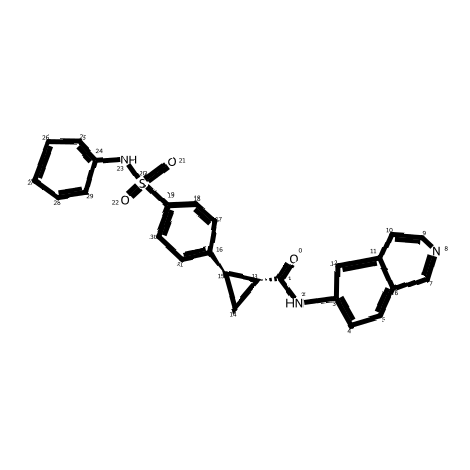 O=C(Nc1ccc2cnccc2c1)[C@@H]1C[C@H]1c1ccc(S(=O)(=O)Nc2ccccc2)cc1